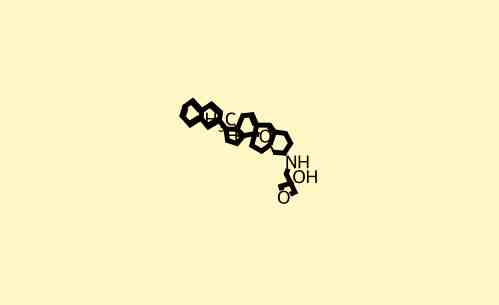 C[C@]12CC=C3C=C4CC[C@@H](NCC5(O)COC5)C[C@]45CCC3(O5)[C@@H]1CCC2c1ccc2ccccc2c1